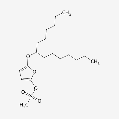 CCCCCCCC(CCCCCC)Oc1ccc(OS(C)(=O)=O)o1